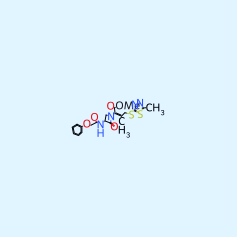 COC(=O)/C(=C(/C)CSc1nnc(C)s1)N1CC(NC(=O)COc2ccccc2)C1=O